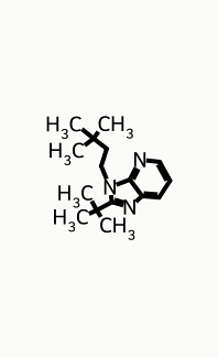 CC(C)(C)CCn1c(C(C)(C)C)nc2cccnc21